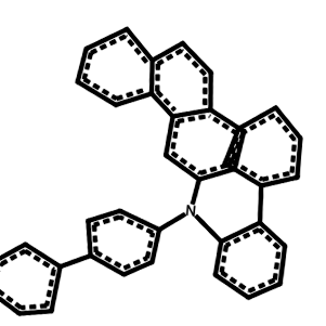 c1ccc(-c2ccc(N(c3ccc4ccc5ccccc5c4c3)c3ccccc3-c3ccccc3)cc2)cc1